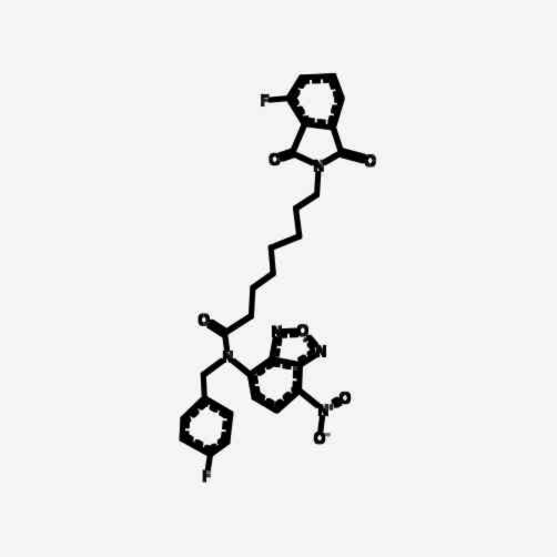 O=C1c2cccc(F)c2C(=O)N1CCCCCCCC(=O)N(Cc1ccc(F)cc1)c1ccc([N+](=O)[O-])c2nonc12